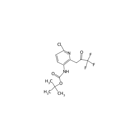 CC(C)(C)OC(=O)Nc1ccc(Cl)nc1CC(=O)C(F)(F)F